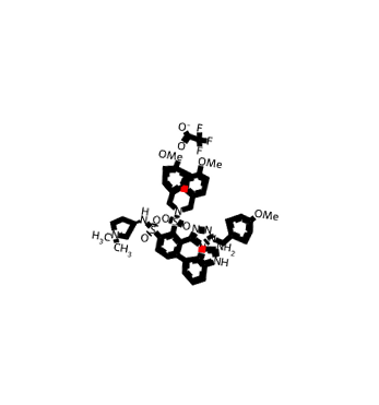 COc1ccc(CN(Cc2ccc(OC)cc2)S(=O)(=O)c2c(S(=O)(=O)N[C@@H]3CC[N+](C)(C)C3)ccc(-c3cccc4[nH]c(N)nc34)c2-c2nnn(Cc3ccc(OC)cc3)n2)cc1.O=C([O-])C(F)(F)F